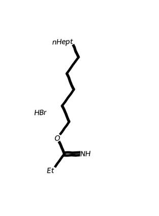 Br.CCCCCCCCCCCCOC(=N)CC